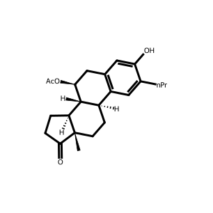 CCCc1cc2c(cc1O)C[C@H](OC(C)=O)[C@@H]1[C@@H]2CC[C@]2(C)C(=O)CC[C@@H]12